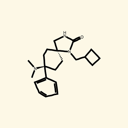 CN(C)[C@]1(c2ccccc2)CC[C@]2(CC1)CNC(=O)N2CC1CCC1